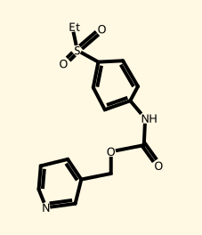 CCS(=O)(=O)c1ccc(NC(=O)OCc2cccnc2)cc1